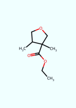 CCOC(=O)C1(C)COCC1C